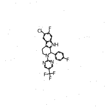 Fc1ccc(C2c3[nH]c4cc(F)c(Cl)cc4c3CCN2c2ncc(C(F)(F)F)cn2)cc1